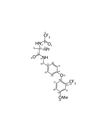 CCCC(C)(NC(=O)C(F)(F)F)C(=O)NCc1ccc(Oc2ccc(OC)cc2C(F)(F)F)cc1